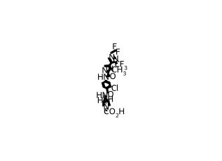 Cn1c(-c2cn(CC(F)F)nc2C(F)(F)F)cnc1C(=O)Nc1ccc(C(=O)NC2[C@H]3CN(C(=O)O)C[C@@H]23)c(Cl)c1